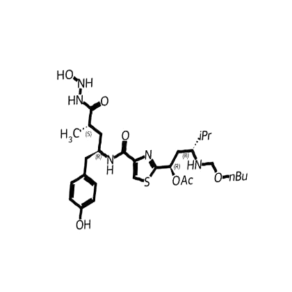 CCCCOCN[C@H](C[C@@H](OC(C)=O)c1nc(C(=O)N[C@@H](Cc2ccc(O)cc2)C[C@H](C)C(=O)NNO)cs1)C(C)C